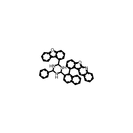 c1ccc(C2NC(c3ccc4ccccc4c3-c3cccc4oc5nc6ccccc6cc5c34)NC(c3cccc4oc5ccccc5c34)N2)cc1